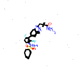 CC(C)(Cc1ncc2cc(-c3c(F)ccc(NS(=O)(=O)C4CCCCC4)c3F)ccc2n1)C(N)=O